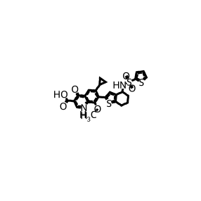 COc1c(-c2cc3c(s2)CCCC3NS(=O)(=O)c2cccs2)c(C2CC2)cc2c(=O)c(C(=O)O)c[nH]c12